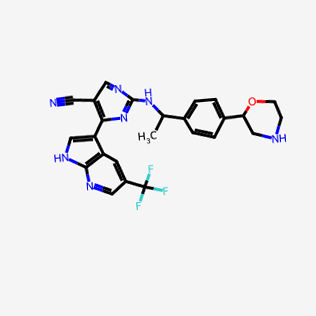 CC(Nc1ncc(C#N)c(-c2c[nH]c3ncc(C(F)(F)F)cc23)n1)c1ccc(C2CNCCO2)cc1